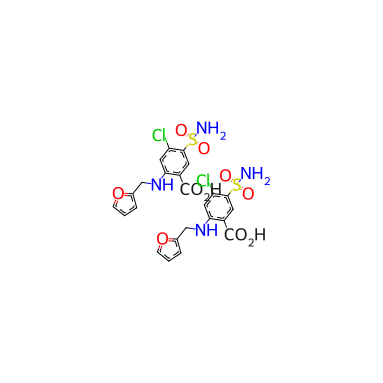 NS(=O)(=O)c1cc(C(=O)O)c(NCc2ccco2)cc1Cl.NS(=O)(=O)c1cc(C(=O)O)c(NCc2ccco2)cc1Cl